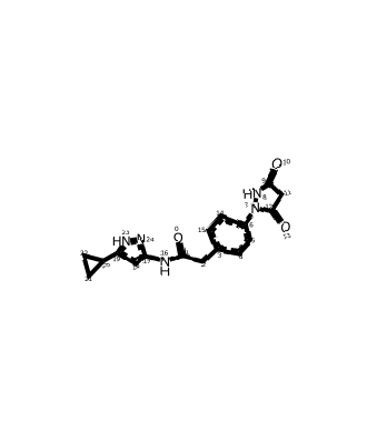 O=C(Cc1ccc(N2NC(=O)CC2=O)cc1)Nc1cc(C2CC2)[nH]n1